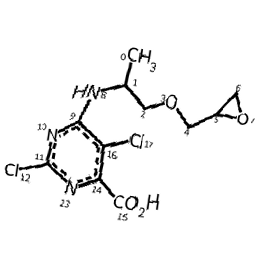 CC(COCC1CO1)Nc1nc(Cl)nc(C(=O)O)c1Cl